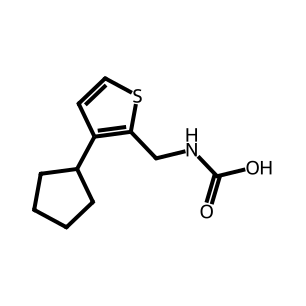 O=C(O)NCc1sccc1C1CCCC1